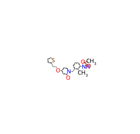 Cc1c(Cn2ccc(OCCc3cccs3)cc2=O)cccc1NS(C)(=O)=O